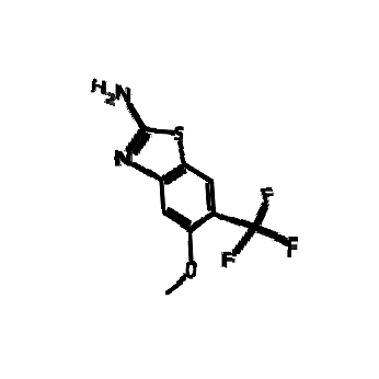 COc1cc2nc(N)sc2cc1C(F)(F)F